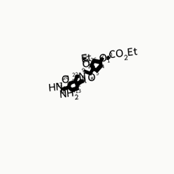 CCOC(=O)COc1ccc(C(=O)CN2C=C3C=CC(C(=N)N)C(=O)C3C2)c(OCC)c1